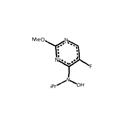 COc1ncc(F)c(N(O)C(C)C)n1